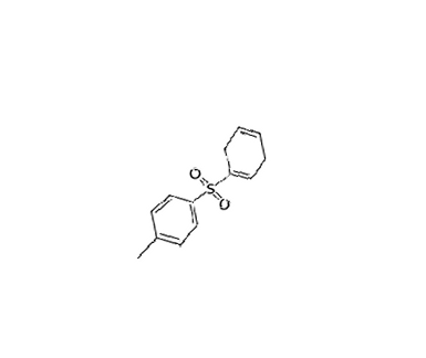 Cc1ccc(S(=O)(=O)C2=CCC=CC2)cc1